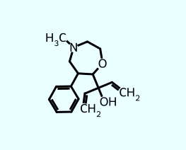 C=CC(O)(C=C)C1OCCN(C)CC1c1ccccc1